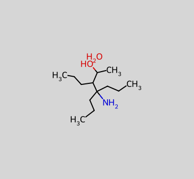 CCCC(C(C)O)C(N)(CCC)CCC.O